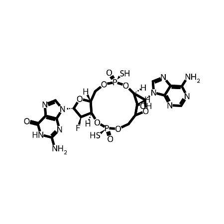 Nc1nc2c(ncn2[C@@H]2O[C@@H]3CO[P@@](=O)(S)O[C@@H]4[C@H](O)C(CO[P@@](=O)(S)O[C@H]3[C@H]2F)O[C@H]4n2cnc3c(N)ncnc32)c(=O)[nH]1